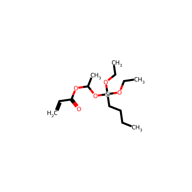 C=CC(=O)OC(C)O[Si](CCCC)(OCC)OCC